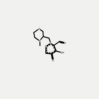 CN1CCOCC1Cn1ncc(=O)c(O)c1C=O